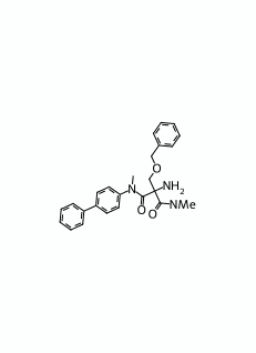 CNC(=O)C(N)(COCc1ccccc1)C(=O)N(C)c1ccc(-c2ccccc2)cc1